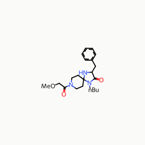 CCCCN1C(=O)C(Cc2ccccc2)NC12CCN(C(=O)COC)CC2